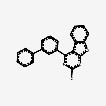 Clc1nc(-c2cccc(-c3ccccc3)c2)c2c(n1)sc1ccccc12